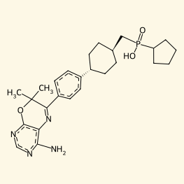 CC1(C)Oc2ncnc(N)c2N=C1c1ccc([C@H]2CC[C@H](CP(=O)(O)C3CCCC3)CC2)cc1